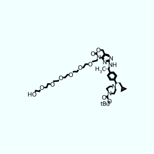 C[C@H](Nc1ncc2c(n1)N(CCOCCOCCOCCOCCOCCOCCO)C(=O)OC2)c1ccc([C@H](CC2CC2)N2CCN(C(=O)OC(C)(C)C)CC2)cc1